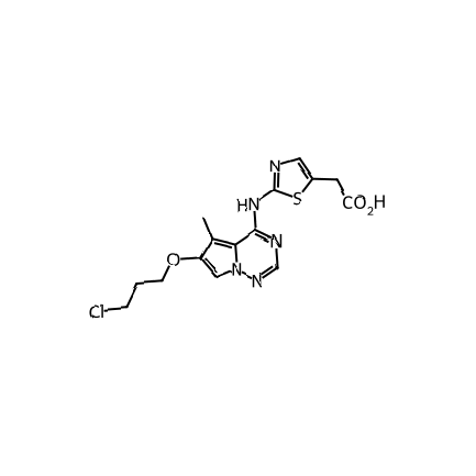 Cc1c(OCCCCl)cn2ncnc(Nc3ncc(CC(=O)O)s3)c12